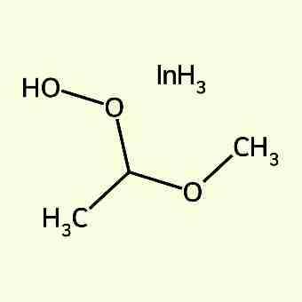 COC(C)OO.[InH3]